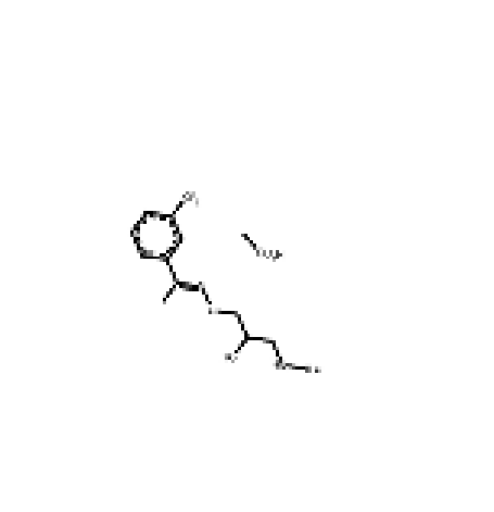 CC(=NOCC(O)CNC(C)(C)C)c1cccc(C(F)(F)F)c1.CC(=O)O